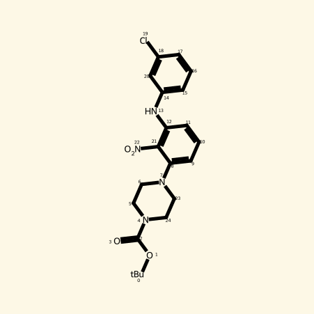 CC(C)(C)OC(=O)N1CCN(c2cccc(Nc3cccc(Cl)c3)c2[N+](=O)[O-])CC1